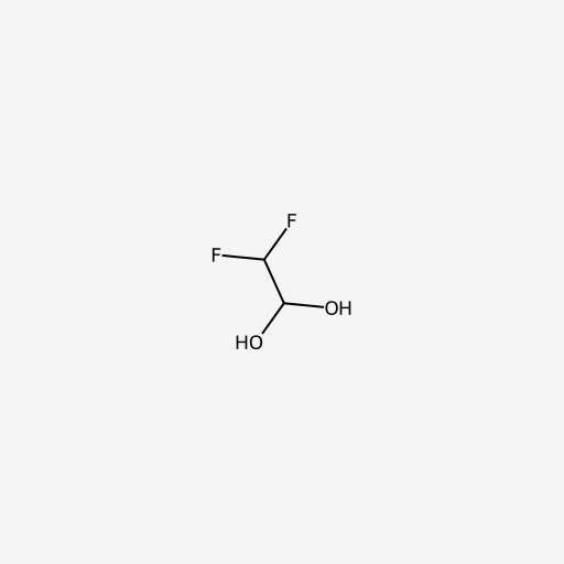 OC(O)C(F)F